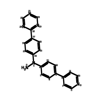 NN(c1ccc(-c2ccncc2)cc1)c1ccc(-c2ncncn2)cc1